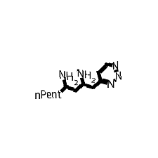 CCCCCC(N)CC(N)Cc1ccnnn1